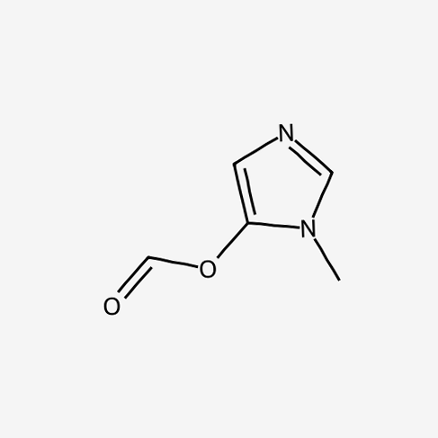 Cn1cncc1OC=O